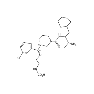 CC(N)C(CC1CCCCC1)NC(=O)N1CCC[C@@H]([C@@H](OCCNC(=O)O)c2cccc(Cl)c2)C1